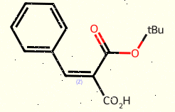 CC(C)(C)OC(=O)/C(=C\c1ccccc1)C(=O)O